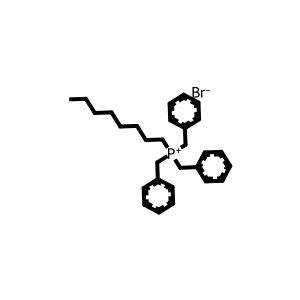 CCCCCCCC[P+](Cc1ccccc1)(Cc1ccccc1)Cc1ccccc1.[Br-]